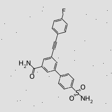 NC(=O)c1cc(C#Cc2ccc(F)cc2)cc(-c2ccc(S(N)(=O)=O)cc2)c1